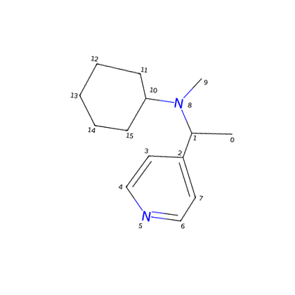 CC(c1ccncc1)N(C)C1CCCCC1